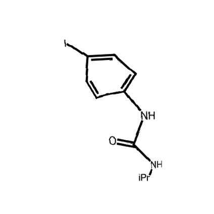 CC(C)NC(=O)Nc1ccc(I)cc1